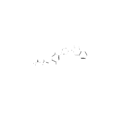 NC(=S)N/N=C/c1cc(F)c(N2CC[C@@H](NCc3cc(F)ccc3Cl)C2)cc1F